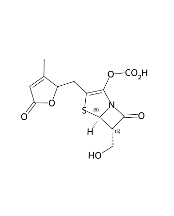 CC1=CC(=O)OC1CC1=C(OC(=O)O)N2C(=O)[C@H](CO)[C@H]2S1